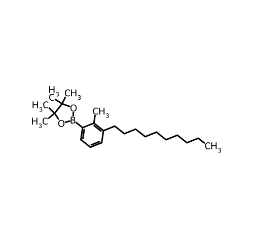 CCCCCCCCCCc1cccc(B2OC(C)(C)C(C)(C)O2)c1C